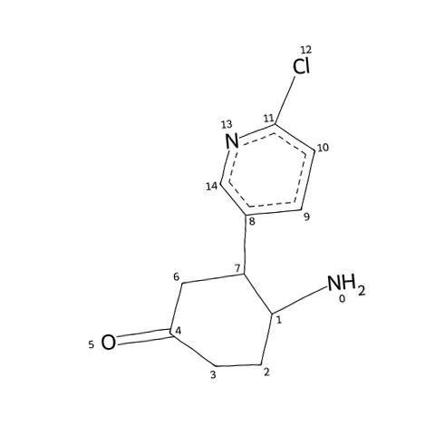 NC1CCC(=O)CC1c1ccc(Cl)nc1